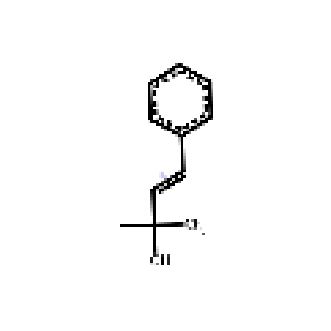 CC(O)(/C=C/c1ccccc1)C(F)(F)F